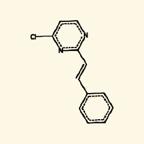 Clc1ccnc(C=Cc2ccccc2)n1